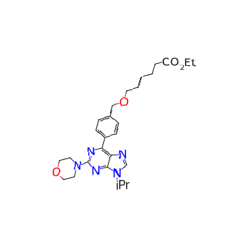 CCOC(=O)CCCCCOCc1ccc(-c2nc(N3CCOCC3)nc3c2ncn3C(C)C)cc1